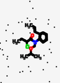 CC=Cc1ccccc1N(COC(C)C)C(=O)C(Cl)CC